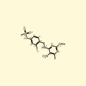 COc1nc(C)c([N+](=O)[O-])c(NCc2ccc(OS(C)(=O)=O)cc2F)n1